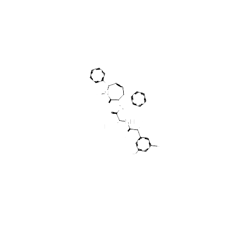 C[C@H](NC(=O)[C@@H](O)c1cc(F)cc(F)c1)C(=O)N[C@@H]1C(=O)N(C)[C@@H](c2ccccc2)C=C[C@@H]1c1ccccc1